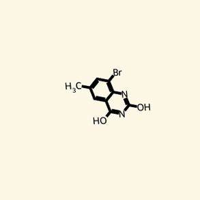 Cc1cc(Br)c2nc(O)nc(O)c2c1